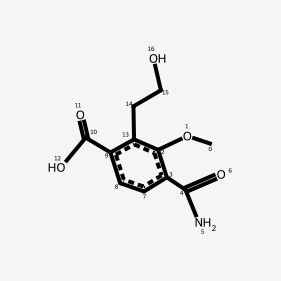 COc1c(C(N)=O)ccc(C(=O)O)c1CCO